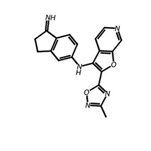 Cc1noc(-c2oc3cnccc3c2Nc2ccc3c(c2)CCC3=N)n1